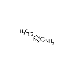 Cc1ccc(-c2cn3c(n2)sc2cc(N)ccc23)cc1